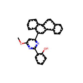 COc1cc(-c2cc3c4ccccc4ccc3c3ccccc23)nc(-c2ccccc2O)n1